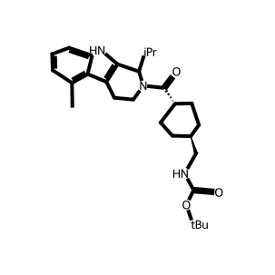 Cc1cccc2[nH]c3c(c12)CCN(C(=O)[C@H]1CC[C@H](CNC(=O)OC(C)(C)C)CC1)C3C(C)C